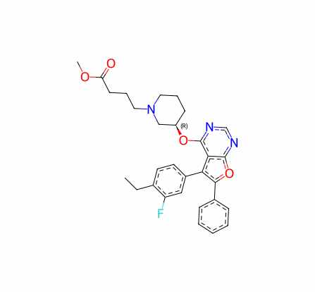 CCc1ccc(-c2c(-c3ccccc3)oc3ncnc(O[C@@H]4CCCN(CCCC(=O)OC)C4)c23)cc1F